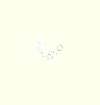 CC[C@H](C)C1CN2CCC[C@@H]2CN1C(=O)N1Cc2c(NC(=O)c3ccccn3)n[nH]c2C1(C)C